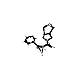 O=C(N1CC2COCC2C1)N1OC1c1ccccc1